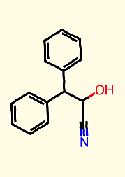 N#CC(O)C(c1ccccc1)c1ccccc1